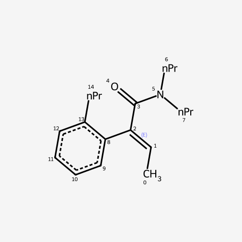 C/C=C(/C(=O)N(CCC)CCC)c1ccccc1CCC